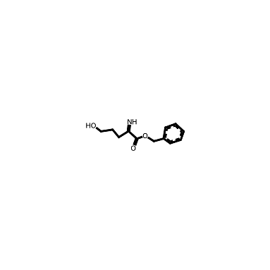 N=C(CCCO)C(=O)OCc1ccccc1